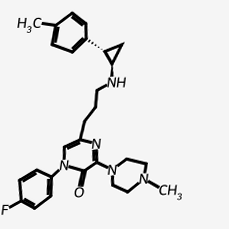 Cc1ccc([C@@H]2C[C@H]2NCCCc2cn(-c3ccc(F)cc3)c(=O)c(N3CCN(C)CC3)n2)cc1